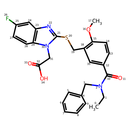 CCN(Cc1ccccc1)C(=O)c1ccc(OC)c(CSc2nc3cc(F)ccc3n2CC(=O)O)c1